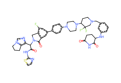 O=C1CCC(Nc2cccc(CN3CCC(N4CCN(c5ccc(-c6cc(F)c7c(c6)C(=O)N(C(C(=O)Nc6nccs6)c6ncn8c6CCC8)C7)cc5)CC4)C(F)(F)C3)c2)C(=O)N1